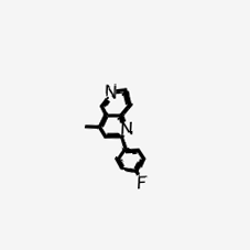 Cc1cc(-c2ccc(F)cc2)nc2ccncc12